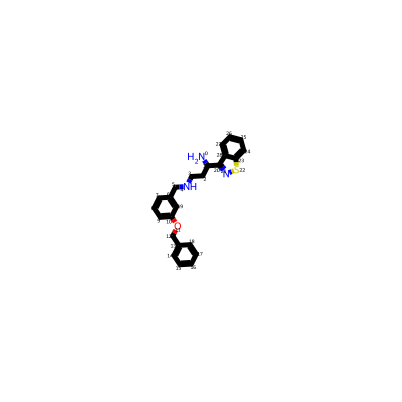 NC(CCNCc1cccc(OCc2ccccc2)c1)c1nsc2ccccc12